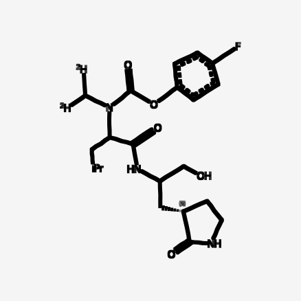 [2H]C([2H])N(C(=O)Oc1ccc(F)cc1)C(CC(C)C)C(=O)NC(CO)C[C@@H]1CCNC1=O